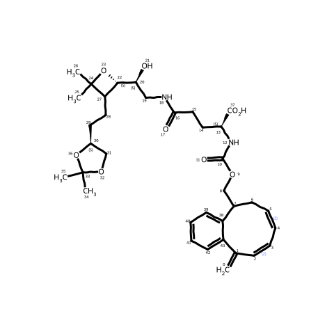 C=C1/C=C\C=C/CC(COC(=O)N[C@@H](CCC(=O)NC[C@H](O)[C@H]2OC(C)(C)C2CC[C@H]2COC(C)(C)O2)C(=O)O)c2ccccc21